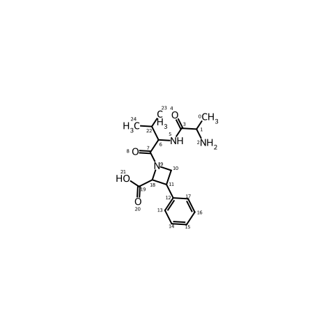 CC(N)C(=O)NC(C(=O)N1CC(c2ccccc2)C1C(=O)O)C(C)C